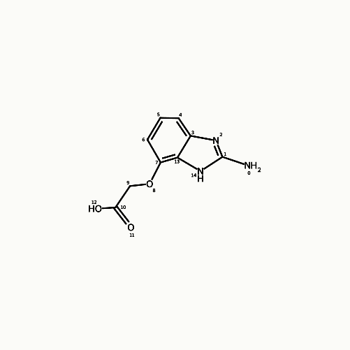 Nc1nc2cccc(OCC(=O)O)c2[nH]1